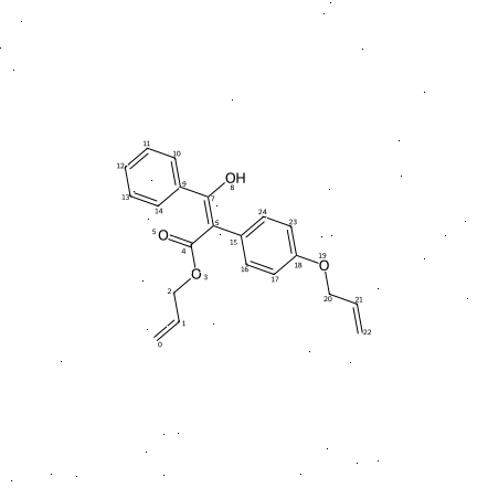 C=CCOC(=O)C(=C(O)c1ccccc1)c1ccc(OCC=C)cc1